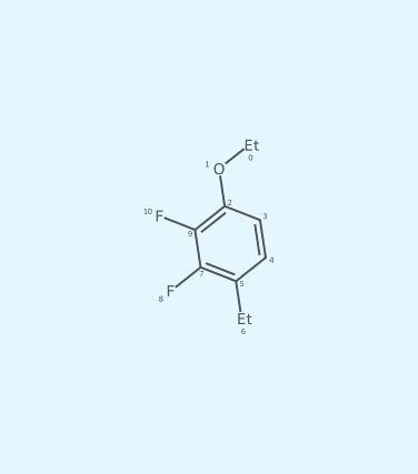 CCOc1ccc(CC)c(F)c1F